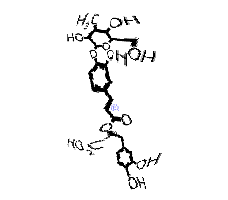 CC1C(O)C(CO)OC(Oc2ccc(/C=C/C(=O)O[C@H](Cc3ccc(O)c(O)c3)C(=O)O)cc2O)C1O